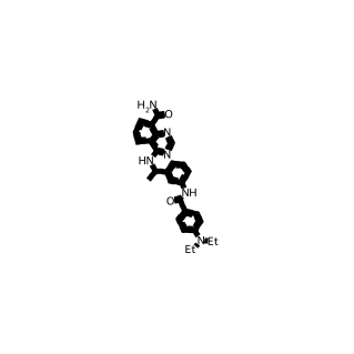 CCN(CC)c1ccc(C(=O)Nc2cccc(C(C)Nc3ncnc4c(C(N)=O)cccc34)c2)cc1